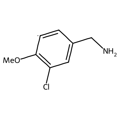 COc1[c]cc(CN)cc1Cl